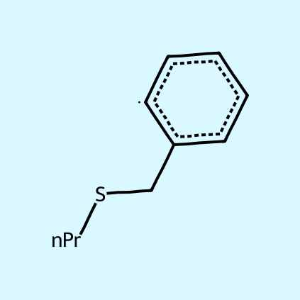 CCCSCc1[c]cccc1